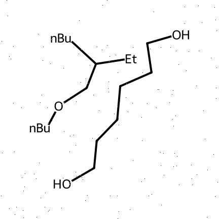 CCCCOCC(CC)CCCC.OCCCCCCO